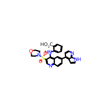 O=C(O)c1ccccc1Nc1c(S(=O)(=O)N2CCOCC2)cnc2ccc(-c3ccnc4[nH]ccc34)cc12